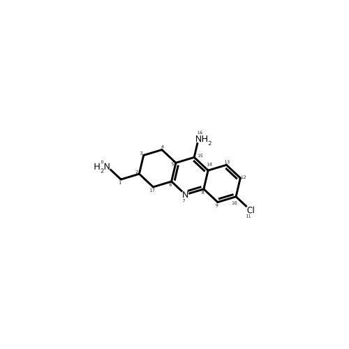 NCC1CCc2c(nc3cc(Cl)ccc3c2N)C1